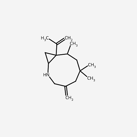 C=C1CNC2CC2(C(=C)C)C(C)CC(C)(C)C1